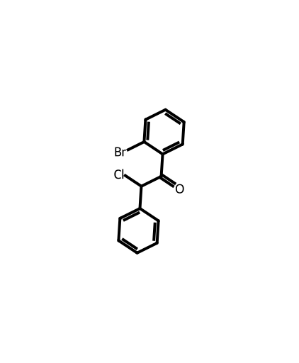 O=C(c1ccccc1Br)C(Cl)c1ccccc1